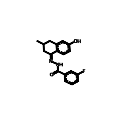 CC1C/C(=N/NC(=O)c2cccc(F)c2)c2ccc(O)cc2C1